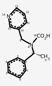 C[C@H](c1ccccc1)N(Cc1cccnc1)C(=O)O